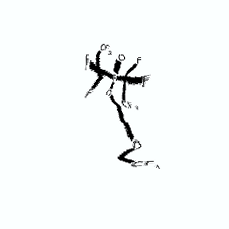 O=P(OCCOCC(F)(F)F)(C(F)(F)C(F)(F)F)C(F)(F)C(F)(F)F